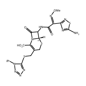 CON=C(C(=O)NC1C(=O)N2C(C(=O)O)=C(CSc3nnnn3C(C)C)CS[C@@H]12)c1nsc(N)n1